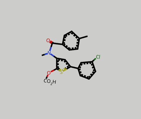 Cc1ccc(C(=O)N(C)c2cc(-c3cccc(Cl)c3)sc2OC(=O)O)cc1